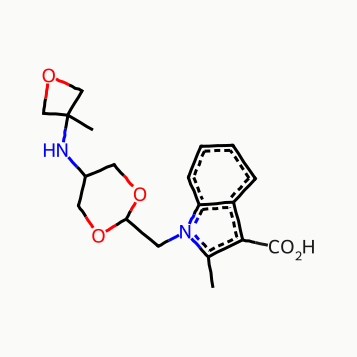 Cc1c(C(=O)O)c2ccccc2n1CC1OCC(NC2(C)COC2)CO1